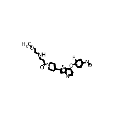 COCCNCCC(=O)N1CC=C(c2cc3nccc(Oc4ccc(N=O)cc4F)c3s2)CC1